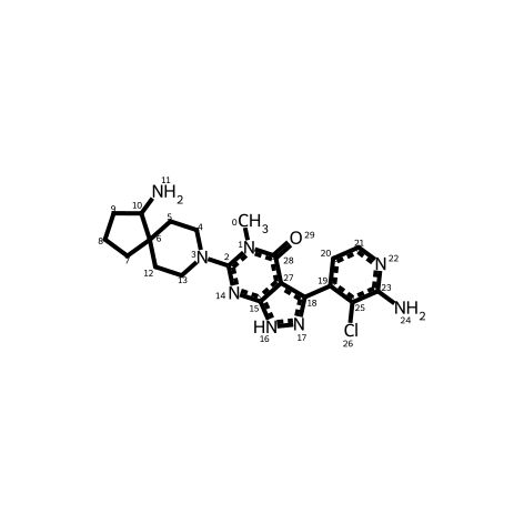 Cn1c(N2CCC3(CCCC3N)CC2)nc2[nH]nc(-c3ccnc(N)c3Cl)c2c1=O